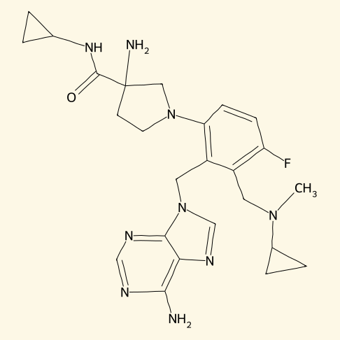 CN(Cc1c(F)ccc(N2CCC(N)(C(=O)NC3CC3)C2)c1Cn1cnc2c(N)ncnc21)C1CC1